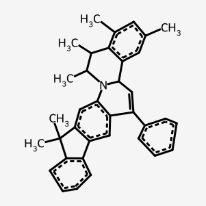 Cc1cc(C)c2c(c1)C1C=C(c3ccccc3)c3cc4c(cc3N1C(C)C2C)C(C)(C)c1ccccc1-4